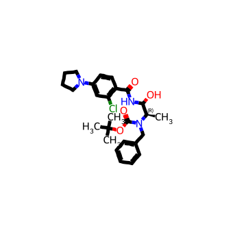 C[C@H](C(O)NC(=O)c1ccc(N2CCCC2)cc1Cl)N(Cc1ccccc1)C(=O)OC(C)(C)C